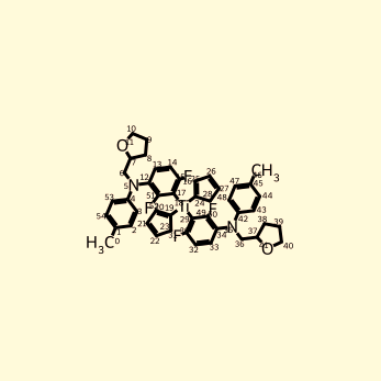 Cc1ccc(N(CC2CCCO2)c2ccc(F)[c]([Ti]([C]3=CC=CC3)([C]3=CC=CC3)[c]3c(F)ccc(N(CC4CCCO4)c4ccc(C)cc4)c3F)c2F)cc1